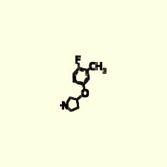 Cc1cc(OC2CC[N]C2)ccc1F